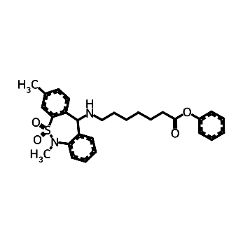 Cc1ccc2c(c1)S(=O)(=O)N(C)c1ccccc1C2NCCCCCCC(=O)Oc1ccccc1